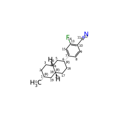 C[C@@H]1CC[C@@H]2C[C@H](c3ccc(C#N)c(F)c3)CC[C@@H]2C1